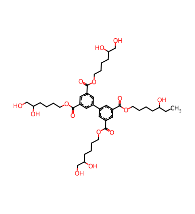 CCC(O)CCCCOC(=O)c1cc(C(=O)OCCCCC(O)CO)cc(-c2cc(C(=O)OCCCCC(O)CO)cc(C(=O)OCCCCC(O)CO)c2)c1